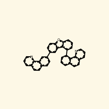 c1cnc2c(c1)ccc1ccc(-c3ccc4oc5cccc(-c6cccc7ccc8cccnc8c67)c5c4c3)cc12